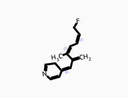 C=C(/C=C1/C=CN=CC1)/C(C)=C\C=C/CF